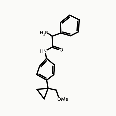 COCC1(c2ccc(NC(=O)C(N)c3ccccc3)cc2)CC1